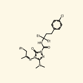 CCC(CC)(CCc1ccc(Cl)cc1)NC(=O)n1nc(N(C)C)n(N=C(C)CC(C)C)c1=O